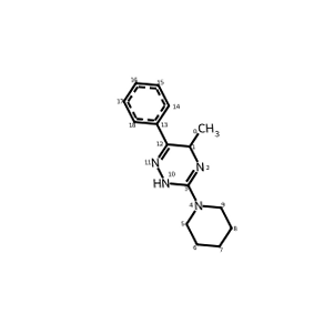 CC1N=C(N2CCCCC2)NN=C1c1ccccc1